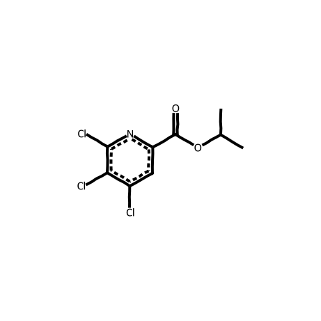 CC(C)OC(=O)c1cc(Cl)c(Cl)c(Cl)n1